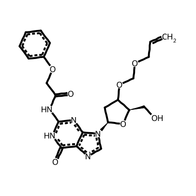 C=CCOCOC1C[C@H](n2cnc3c(=O)[nH]c(NC(=O)COc4ccccc4)nc32)O[C@@H]1CO